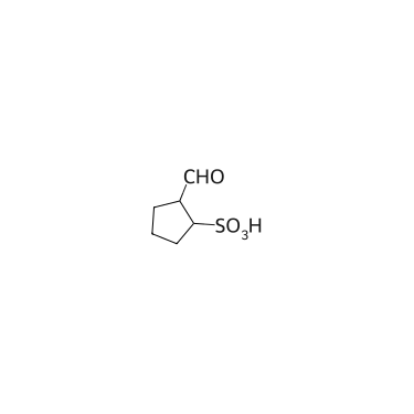 O=CC1CCCC1S(=O)(=O)O